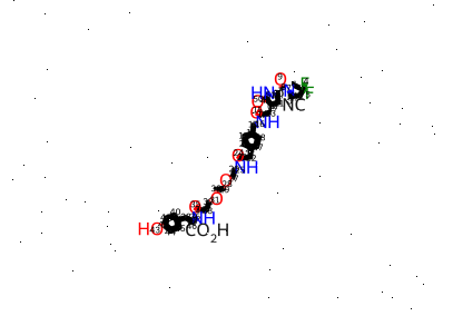 N#C[C@@H]1CC(F)(F)CN1C(=O)[C@@H]1C[C@@H](CC(=O)NCc2ccc(CC(=O)NCCOCCOCCC(=O)N[C@@H](Cc3ccc(O)cc3)C(=O)O)cc2)C(=O)N1